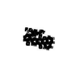 CC(C)Cn1cc(-c2cccc(Cl)c2-c2ccc3c(=O)n(-c4cccc5ccccc45)c(=O)[nH]c3c2)c(C(F)(F)F)n1